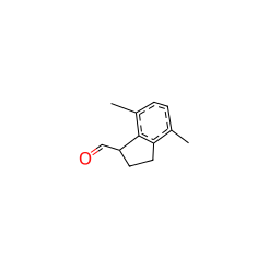 Cc1ccc(C)c2c1CCC2C=O